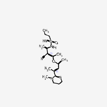 C=C(/C=C(\C)C1=NCCCN1C)O/C(C)=C(\C#N)C(=C)NS(=N)(=O)CCC